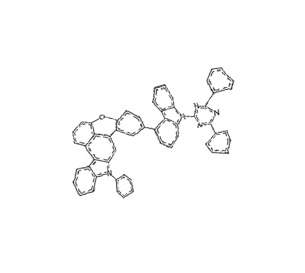 c1ccc(-c2nc(-c3ccccc3)nc(-n3c4ccccc4c4c(-c5ccc6c(c5)-c5cc7c(c8cccc(c58)O6)c5ccccc5n7-c5ccccc5)cccc43)n2)cc1